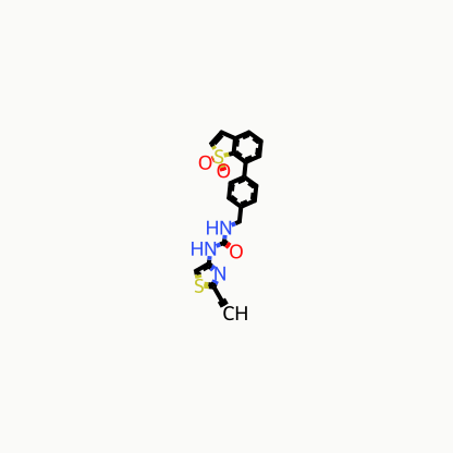 C#Cc1nc(NC(=O)NCc2ccc(-c3cccc4c3S(=O)(=O)C=C4)cc2)cs1